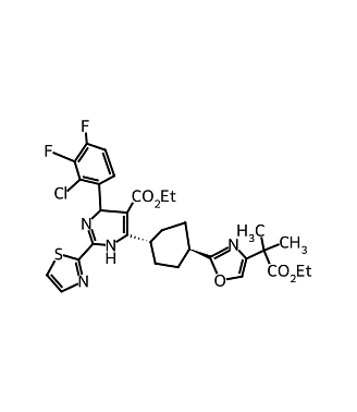 CCOC(=O)C1=C([C@H]2CC[C@H](c3nc(C(C)(C)C(=O)OCC)co3)CC2)NC(c2nccs2)=NC1c1ccc(F)c(F)c1Cl